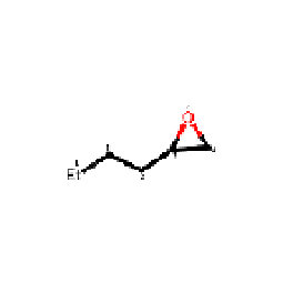 CCCC[C]1CO1